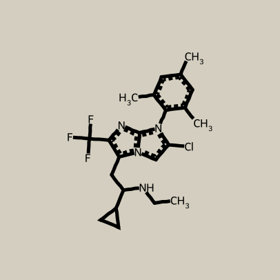 CCNC(Cc1c(C(F)(F)F)nc2n(-c3c(C)cc(C)cc3C)c(Cl)cn12)C1CC1